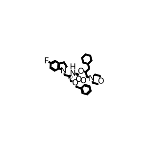 O=C(N[C@@H](COCc1ccccc1)CN1CCc2cc(F)ccc21)OC(CC1CCCCC1)C(=O)N1CCOCC1